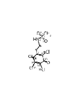 CS(=O)(=O)NCCC1=C(Cl)C(=O)C(Cl)=C(Cl)C1=O